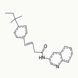 CCC(C)(C)c1ccc(/C=C/CC(=O)Nc2cnc3ccccc3c2)cc1